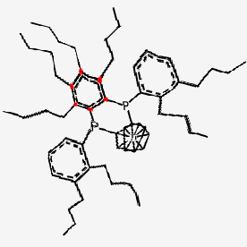 CCCCc1cccc(P(c2cccc(CCCC)c2CCCC)[C]23[CH]4[CH]5[CH]6[C]2(P(c2cccc(CCCC)c2CCCC)c2cccc(CCCC)c2CCCC)[Ti]54632789[CH]3[CH]2[CH]7[CH]8[CH]39)c1CCCC